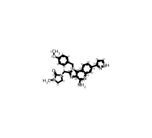 COc1ccc(Cn2c(CN3CCN(C)C3=O)nc3c(N)nc4cc(-c5cc[nH]n5)ccc4c32)cc1